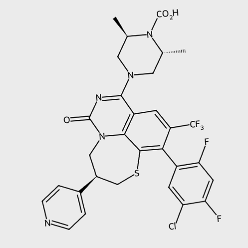 C[C@@H]1CN(c2nc(=O)n3c4c(c(-c5cc(Cl)c(F)cc5F)c(C(F)(F)F)cc24)SC[C@@H](c2ccncc2)C3)C[C@@H](C)N1C(=O)O